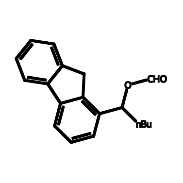 CCCCC(OC=O)c1cccc2c1Cc1ccccc1-2